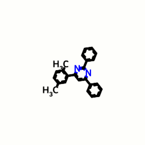 Cc1ccc(C)c(-c2cc(-c3ccccc3)nc(-c3ccccc3)n2)c1